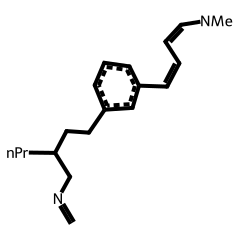 C=NCC(CCC)CCc1cccc(/C=C\C=C/NC)c1